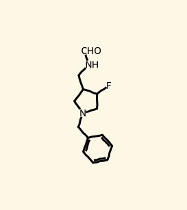 O=CNCC1CN(Cc2ccccc2)CC1F